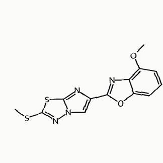 COc1cccc2oc(-c3cn4nc(SC)sc4n3)nc12